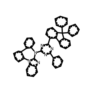 c1ccc(-c2nc(-c3cccc4c3-c3ccccc3C4(c3ccccc3)c3ccccc3)nc(N3c4ccccc4-c4ccccc4-n4c3nc3ccccc34)n2)cc1